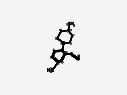 Cc1ccc(N2CCN(C)CC2)c(C=O)c1